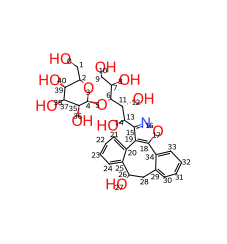 OCC1O[C@@H](O[C@H](C(O)CO)[C@H](O)C(O)c2noc3c2-c2ccccc2C(O)Cc2ccccc2-3)[C@@H](O)C(O)[C@H]1O